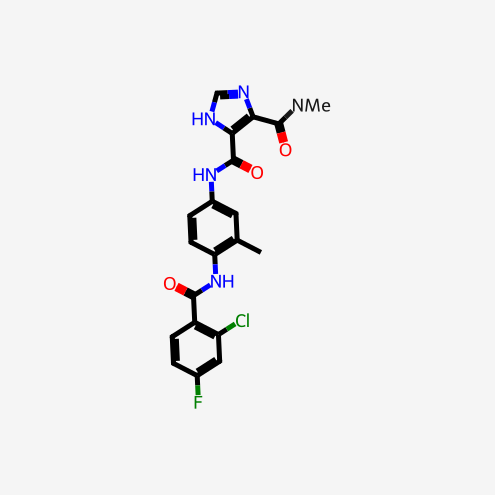 CNC(=O)c1nc[nH]c1C(=O)Nc1ccc(NC(=O)c2ccc(F)cc2Cl)c(C)c1